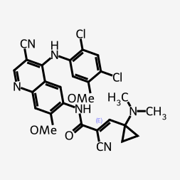 COc1cc(Nc2c(C#N)cnc3cc(OC)c(NC(=O)/C(C#N)=C/C4(N(C)C)CC4)cc23)c(Cl)cc1Cl